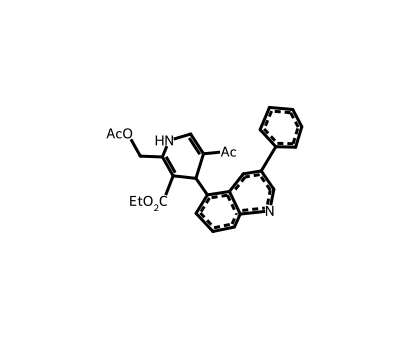 CCOC(=O)C1=C(COC(C)=O)NC=C(C(C)=O)C1c1cccc2ncc(-c3ccccc3)cc12